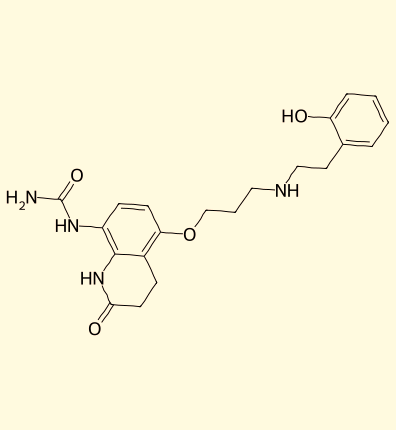 NC(=O)Nc1ccc(OCCCNCCc2ccccc2O)c2c1NC(=O)CC2